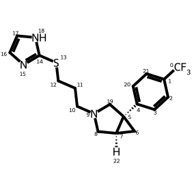 FC(F)(F)c1ccc([C@]23C[C@H]2CN(CCCSc2ncc[nH]2)C3)cc1